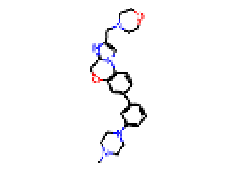 CN1CCN(c2cccc(-c3ccc4c(c3)OCc3nc(CN5CCOCC5)cn3-4)c2)CC1